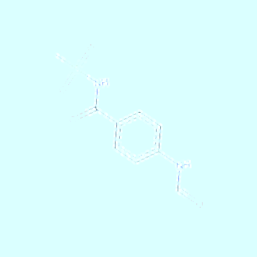 CS(=O)(=O)NC(=O)c1ccc(NC=O)cc1